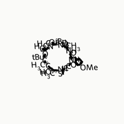 CC[C@H](C)[C@@H]1NC(=O)[C@H](C)NC(=O)[C@H](Cc2ccc(OC)cc2)NC(=O)CC[C@@H]2CSC(=N2)[C@H](C)[C@@H](O)C[C@H](C)C[C@@H](C(C)(C)C)OC(=O)[C@H](C)N(C)C1=O